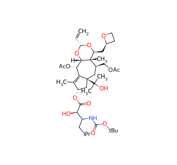 C=C[C@@H]1O[C@@H](C[C@@H]2CCO2)[C@]2(C)[C@@H](COC(C)=O)C[C@]3(C(C)(C)O)C[C@H](OC(=O)[C@H](O)C(CC(C)C)NC(=O)OC(C)(C)C)C(C)=C3[C@H](OC(C)=O)[C@@H]2O1